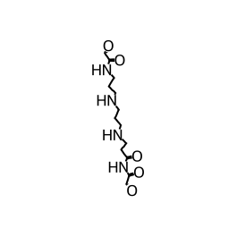 O=CC(=O)NCCCNCCCNCCC(=O)NC(=O)C=O